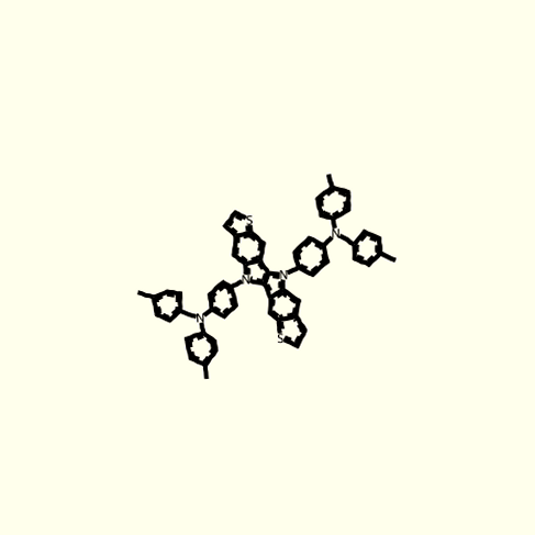 Cc1ccc(N(c2ccc(C)cc2)c2ccc(-n3c4cc5ccsc5cc4c4c3c3cc5sccc5cc3n4-c3ccc(N(c4ccc(C)cc4)c4ccc(C)cc4)cc3)cc2)cc1